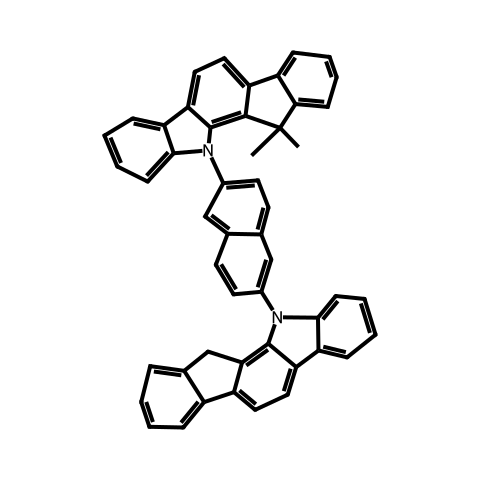 CC1(C)c2ccccc2-c2ccc3c4ccccc4n(-c4ccc5cc(-n6c7ccccc7c7ccc8c(c76)Cc6ccccc6-8)ccc5c4)c3c21